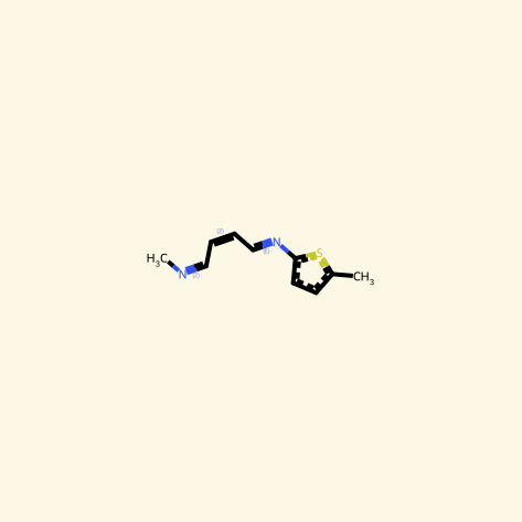 C\N=C/C=C\C=N\c1ccc(C)s1